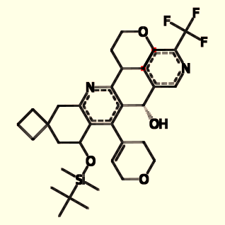 CC(C)(C)[Si](C)(C)OC1CC2(CCC2)Cc2nc(C3CCOCC3)c([C@@H](O)c3ccc(C(F)(F)F)nc3)c(C3=CCOCC3)c21